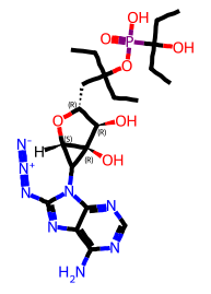 CCC(CC)(C[C@H]1O[C@H]2C(n3c(N=[N+]=[N-])nc4c(N)ncnc43)[C@@]2(O)[C@@H]1O)OP(=O)(O)C(O)(CC)CC